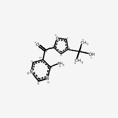 CC(C)(O)c1coc(C(=O)c2cncnc2N)c1